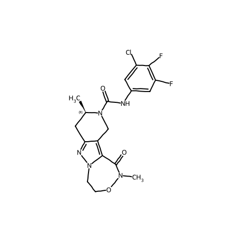 C[C@@H]1Cc2nn3c(c2CN1C(=O)Nc1cc(F)c(F)c(Cl)c1)C(=O)N(C)OCC3